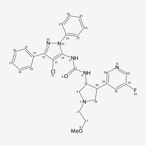 COCCN1CC(NC(=O)Nc2c(Cl)c(-c3ccccc3)nn2-c2ccccc2)C(c2cncc(F)c2)C1